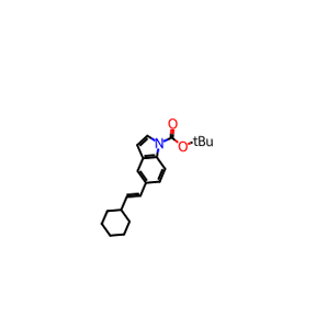 CC(C)(C)OC(=O)n1ccc2cc(C=CC3CCCCC3)ccc21